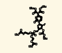 CC(C)(C)OC(=O)O[C@H]1[C@H](F)[C@H](n2ccc(N(C(=O)OC(C)(C)C)C(=O)OC(C)(C)C)nc2=O)S[C@@H]1COP(=O)(OCCSC(=O)C(C)(C)C)OCOC(=O)C(C)(C)C